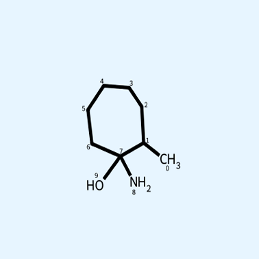 CC1CCCCCC1(N)O